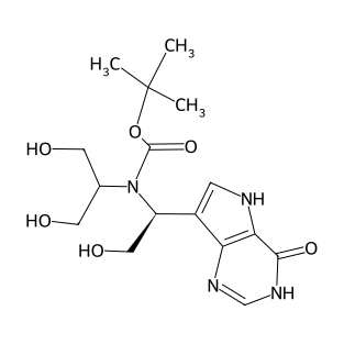 CC(C)(C)OC(=O)N(C(CO)CO)[C@H](CO)c1c[nH]c2c(=O)[nH]cnc12